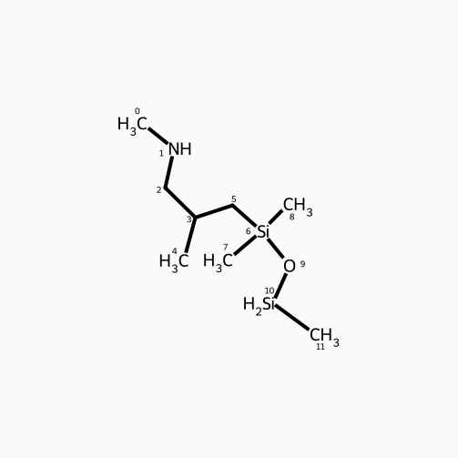 CNCC(C)C[Si](C)(C)O[SiH2]C